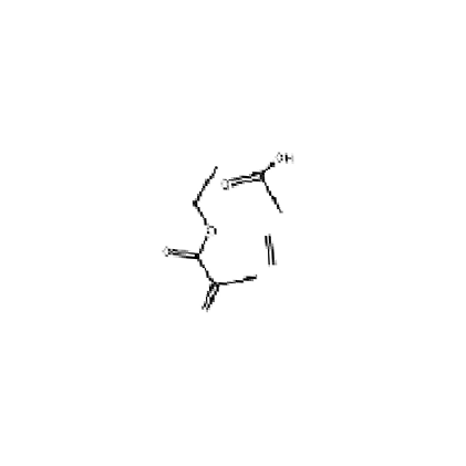 C=C.C=C(C)C(=O)OCC.CC(=O)O